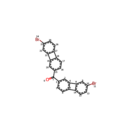 O=C(c1ccc2c(c1)-c1cc(Br)ccc1-2)c1ccc2c(c1)-c1cc(Br)ccc1-2